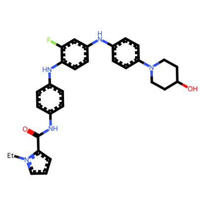 CCn1cccc1C(=O)Nc1ccc(Nc2ccc(Nc3ccc(N4CCC(O)CC4)cc3)cc2F)cc1